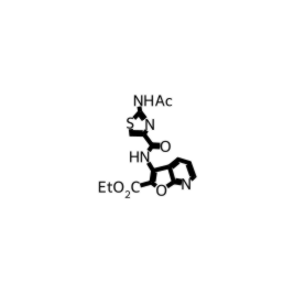 CCOC(=O)c1oc2ncccc2c1NC(=O)c1csc(NC(C)=O)n1